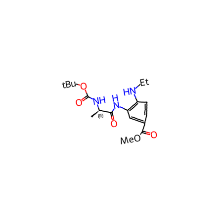 CCNc1ccc(C(=O)OC)cc1NC(=O)[C@@H](C)NC(=O)OC(C)(C)C